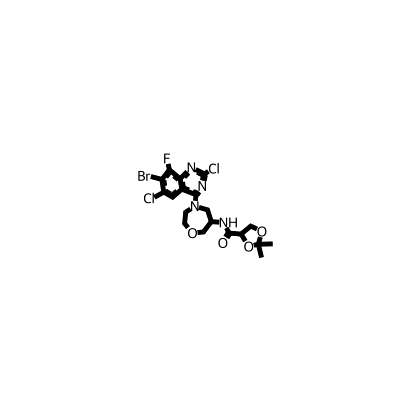 CC1(C)OCC(C(=O)NC2COCCN(c3nc(Cl)nc4c(F)c(Br)c(Cl)cc34)C2)O1